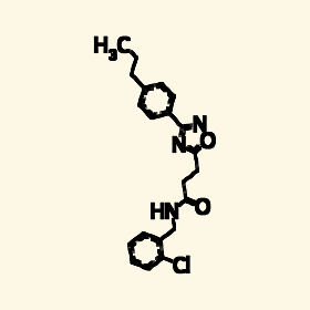 CCCc1ccc(-c2noc(CCC(=O)NCc3ccccc3Cl)n2)cc1